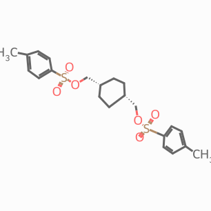 Cc1ccc(S(=O)(=O)OC[C@H]2CC[C@@H](COS(=O)(=O)c3ccc(C)cc3)CC2)cc1